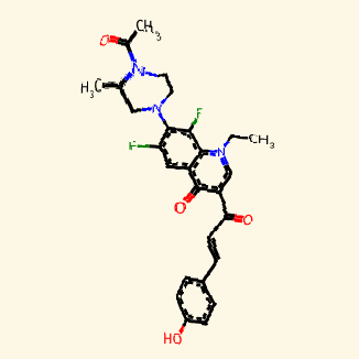 CCn1cc(C(=O)C=Cc2ccc(O)cc2)c(=O)c2cc(F)c(N3CCN(C(C)=O)C(C)C3)c(F)c21